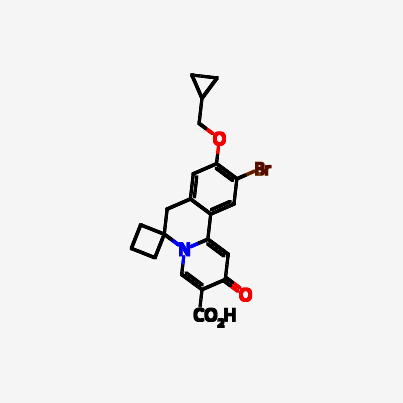 O=C(O)c1cn2c(cc1=O)-c1cc(Br)c(OCC3CC3)cc1CC21CCC1